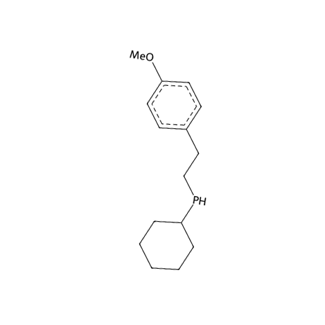 COc1ccc(CCPC2CCCCC2)cc1